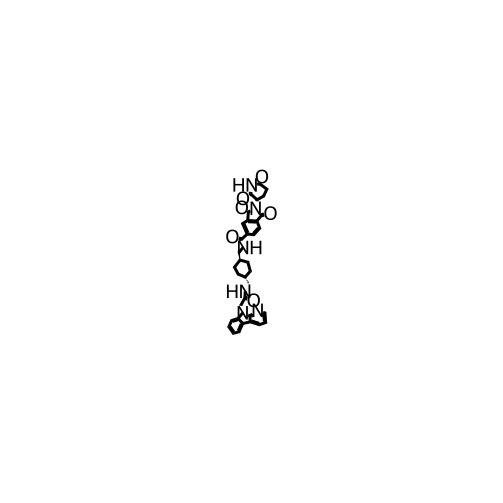 O=C(Cn1c2ccccc2c2cccnc21)NC[C@H]1CC[C@H](CNC(=O)c2ccc3c(c2)C(=O)N(C2CCC(=O)NC2=O)C3=O)CC1